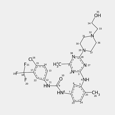 Cc1nc(Nc2cc(NC(=O)Nc3ccc(Cl)c(C(F)(F)F)c3)ccc2C)nc(N2CCN(CCO)CC2)n1